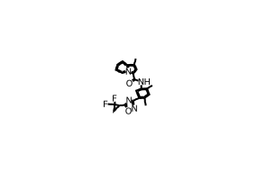 Cc1cc(C)c(-c2noc(C3CC3(F)F)n2)cc1NC(=O)c1cc(C)c2ccccn12